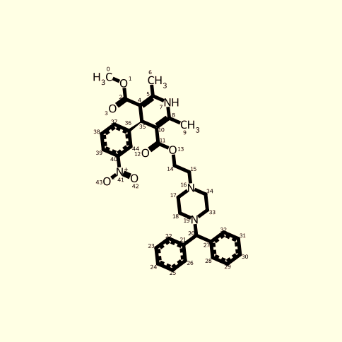 COC(=O)C1=C(C)NC(C)=C(C(=O)OCCN2CCN(C(c3ccccc3)c3ccccc3)CC2)[C@H]1c1cccc([N+](=O)[O-])c1